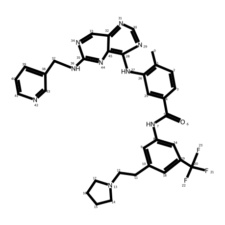 Cc1ccc(C(=O)Nc2cc(CCN3CCCC3)cc(C(F)(F)F)c2)cc1Nc1ncnc2cnc(NCc3cccnc3)nc12